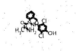 CN(N)C(=O)N(N)c1ccccc1COc1cc(Cl)c(O)cc1Cl